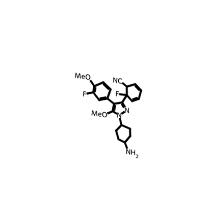 COc1ccc(-c2c(C3(F)C=CC=CC3C#N)nn(C3CCC(N)CC3)c2OC)cc1F